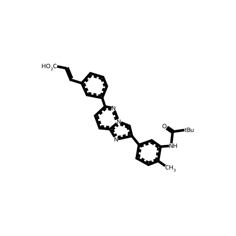 Cc1ccc(-c2cn3nc(-c4cccc(C=CC(=O)O)c4)ccc3n2)cc1NC(=O)C(C)(C)C